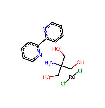 NC(CO)(CO)CO.[Cl][Ru][Cl].c1ccc(-c2ccccn2)nc1